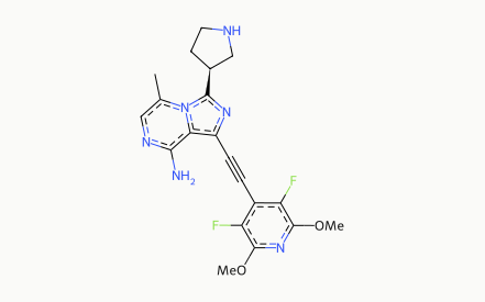 COc1nc(OC)c(F)c(C#Cc2nc([C@H]3CCNC3)n3c(C)cnc(N)c23)c1F